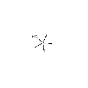 CP(C)(C)(C)O